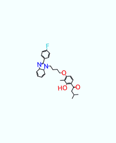 Cc1c(OCCCCN2C(c3ccc(F)cc3)=NC3C=CC=CC32)ccc(C(=O)CC(C)C)c1O